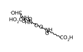 O=[C]CC[C@H](NC(=O)CCC(=O)NCCCOCCOCCCNC(=O)CCCCCCCCC(=O)O)C(=O)O